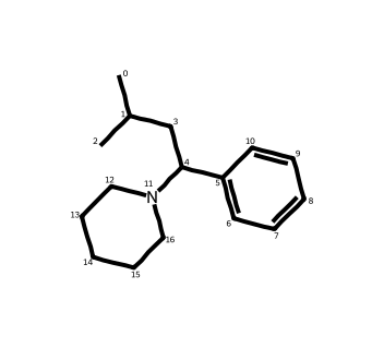 CC(C)CC(c1ccccc1)N1CCCCC1